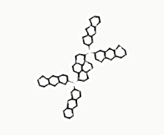 c1ccc2cc3cc(B(c4ccc5cc6ccccc6cc5c4)c4ccc5ccc6c(B(c7ccc8cc9ccccc9cc8c7)c7ccc8cc9ccccc9cc8c7)ccc7ccc4c5c76)ccc3cc2c1